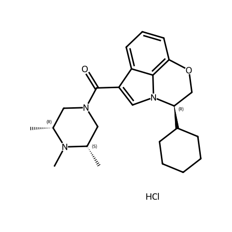 C[C@@H]1CN(C(=O)c2cn3c4c(cccc24)OC[C@H]3C2CCCCC2)C[C@H](C)N1C.Cl